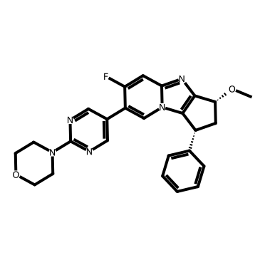 CO[C@@H]1C[C@H](c2ccccc2)c2c1nc1cc(F)c(-c3cnc(N4CCOCC4)nc3)cn21